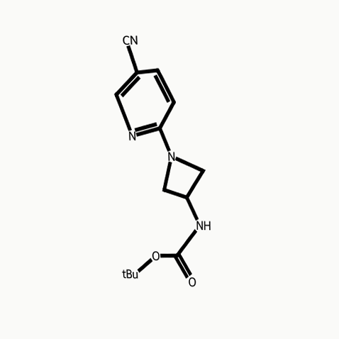 CC(C)(C)OC(=O)NC1CN(c2ccc(C#N)cn2)C1